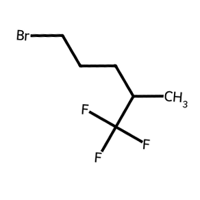 CC(CCCBr)C(F)(F)F